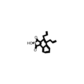 C=CCc1c2c(c3ccccc3c1CC=C)C(=O)N(O)C2=O